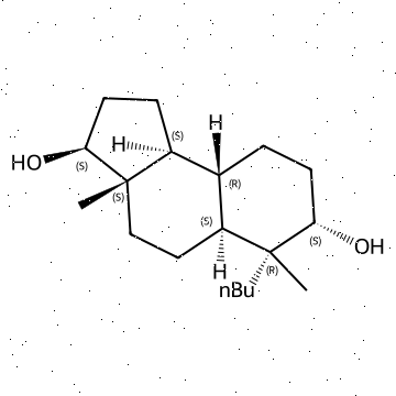 CCCC[C@@]1(C)[C@@H](O)CC[C@@H]2[C@@H]1CC[C@]1(C)[C@@H](O)CC[C@@H]21